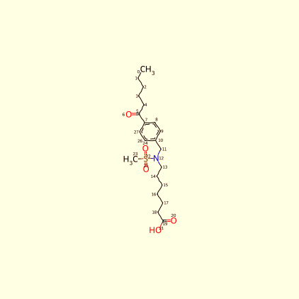 CCCCCC(=O)c1ccc(CN(CCCCCCC(=O)O)S(C)(=O)=O)cc1